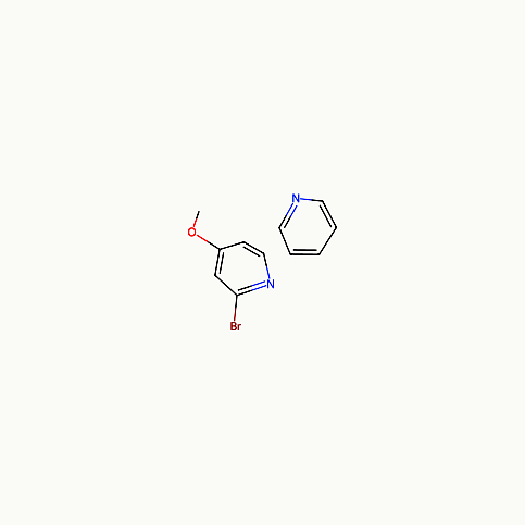 COc1ccnc(Br)c1.c1ccncc1